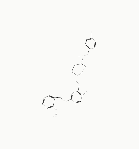 O=[N+]([O-])c1cnc(NCc2ccccc2OC(F)(F)F)nc1NC[C@H]1CC[C@H](NCc2ccc(F)cc2)CC1